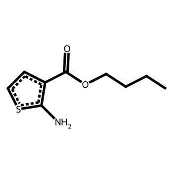 CCCCOC(=O)c1ccsc1N